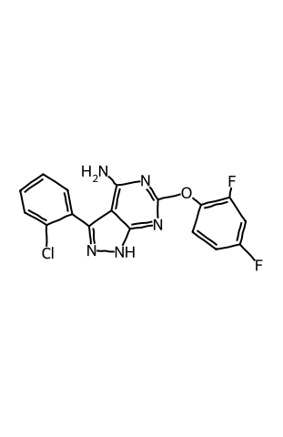 Nc1nc(Oc2ccc(F)cc2F)nc2[nH]nc(-c3ccccc3Cl)c12